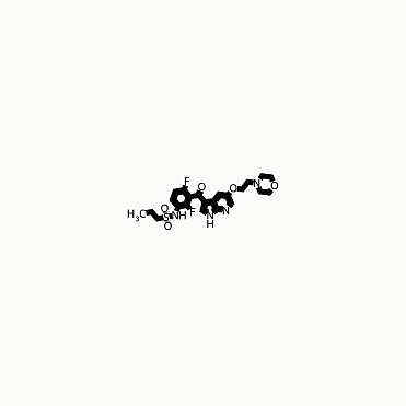 CCCS(=O)(=O)Nc1ccc(F)c(C(=O)c2c[nH]c3ncc(OCCN4CCOCC4)cc23)c1F